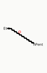 CCC#CCCCCCCC(=O)CCCCCCCC=CCC=CCCCCC